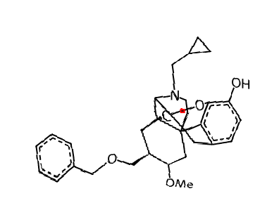 COC1CC23CCN(CC4CC4)C4Cc5ccc(O)c(c52)OCCC[C@@]43C[C@@H]1COCc1ccccc1